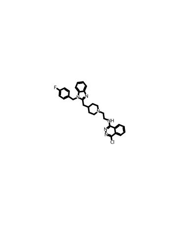 Fc1ccc(Cn2c(CC3CCN(CCNc4nnc(Cl)c5ccccc45)CC3)nc3ccccc32)cc1